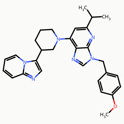 COc1ccc(Cn2cnc3c(N4CCCC(c5cnc6ccccn56)C4)cc(C(C)C)nc32)cc1